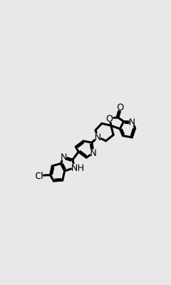 O=C1OC2(CCN(c3ccc(-c4nc5cc(Cl)ccc5[nH]4)cn3)CC2)c2cccnc21